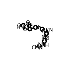 CC1(C)C(=O)N(C2CCC(=O)NC2=O)c2cccc(C3CCN(CC4CCN(c5cc(S(=O)(=O)N6CCC(Nc7ncc(Cl)cn7)CC6)ccc5C#N)CC4)CC3)c21